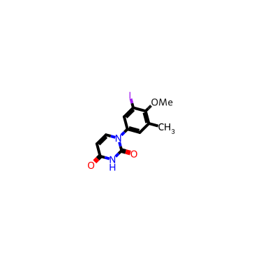 COc1c(C)cc(-n2ccc(=O)[nH]c2=O)cc1I